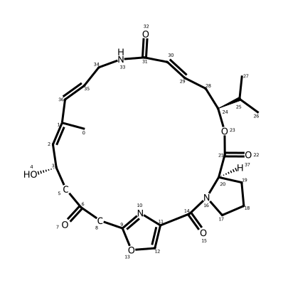 CC1=C\[C@@H](O)CC(=O)Cc2nc(co2)C(=O)N2CCC[C@@H]2C(=O)O[C@H](C(C)C)C/C=C/C(=O)NC\C=C\1